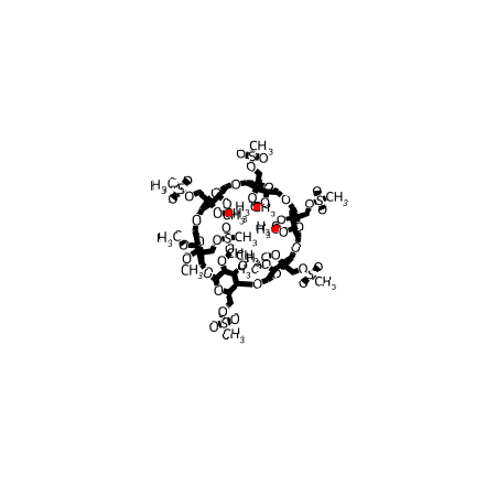 COC1C2OC(COS(C)(=O)=O)C(OC3OC(COS(C)(=O)=O)C(OC4OC(COS(C)(=O)=O)C(OC5OC(COS(C)(=O)=O)C(OC6OC(COS(C)(=O)=O)C(OC7OC(COS(C)(=O)=O)C(O2)C(OC)C7OC)C(OC)C6OC)C(OC)C5OC)C(OC)C4OC)C(OC)C3OC)C1OC